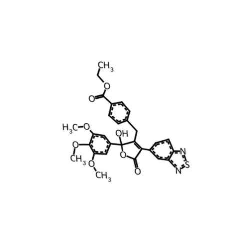 CCOC(=O)c1ccc(CC2=C(c3ccc4nsnc4c3)C(=O)OC2(O)c2cc(OC)c(OC)c(OC)c2)cc1